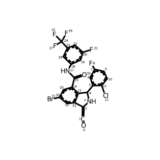 O=C=C1NC(c2cc(F)ccc2Cl)c2c(C(=O)Nc3cc(F)cc(C(F)(F)F)c3)cc(Br)cc21